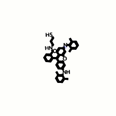 Cc1cccc(C)c1/N=c1/ccc2c(-c3ccccc3C(=O)NCCCS)c3ccc(Nc4c(C)cccc4C)cc3oc-2c1